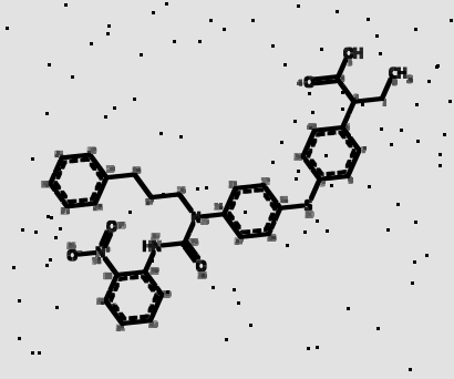 CCC(C(=O)O)c1ccc(Sc2ccc(N(CCCc3ccccc3)C(=O)Nc3ccccc3[N+](=O)[O-])cc2)cc1